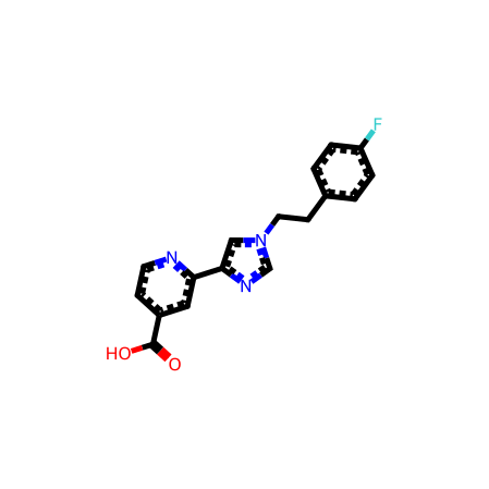 O=C(O)c1ccnc(-c2cn(CCc3ccc(F)cc3)cn2)c1